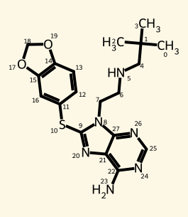 CC(C)(C)CNCCn1c(Sc2ccc3c(c2)OCO3)nc2c(N)ncnc21